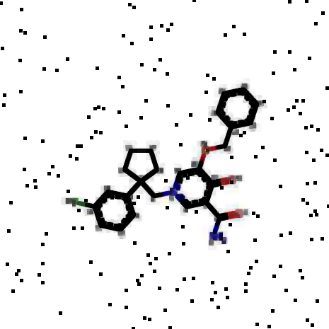 NC(=O)c1cn(CC2(c3cccc(F)c3)CCCC2)cc(OCc2ccccc2)c1=O